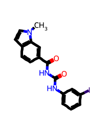 Cn1ccc2ccc(C(=O)NC(=O)Nc3cccc(I)c3)cc21